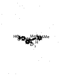 COc1cc(SC)ccc1NCC#Cc1cc2c(NC3CCN(C(=O)CO)CC3)cccc2n1CC(F)(F)F